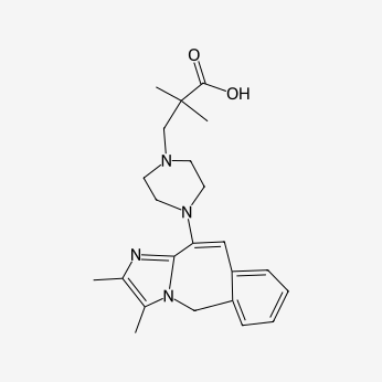 Cc1nc2n(c1C)Cc1ccccc1C=C2N1CCN(CC(C)(C)C(=O)O)CC1